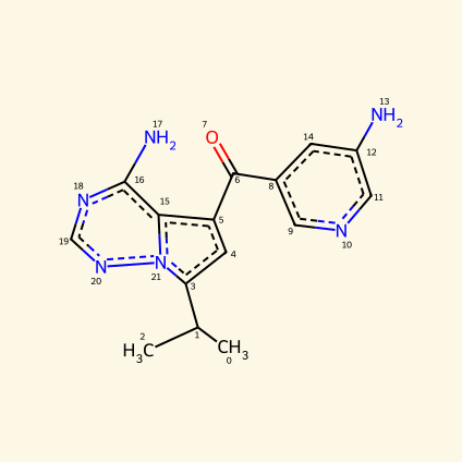 CC(C)c1cc(C(=O)c2cncc(N)c2)c2c(N)ncnn12